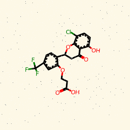 O=C(O)CCOc1cc(C(F)(F)F)ccc1C1CC(=O)c2c(O)ccc(Cl)c2O1